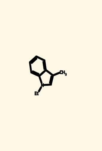 [CH2]Cn1cc(C)c2ccccc21